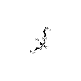 CCOP(=O)([O-])ONCCN.[Na+]